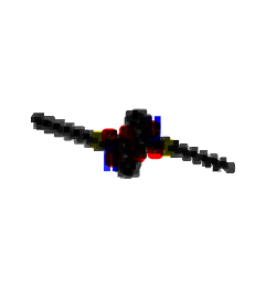 CCCCCCCCCCCCSCC(=O)Nc1ccc(-c2ccc(NC(=O)CSCCCCCCCCCCCC)c3c2C(=O)c2ccccc2C3=O)c2c1C(=O)c1ccccc1C2=O